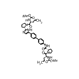 C=CC[C@H](NC(=O)OC)C(=O)N1CCC[C@H]1C(=O)Nc1ccc(-c2ccc(-c3cnc([C@@H]4CCCN4C(=O)[C@H](CC=C)NC(=O)OC)[nH]3)cc2)cc1